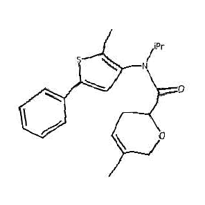 CC1=CCC(C(=O)N(c2cc(-c3ccccc3)sc2C)C(C)C)OC1